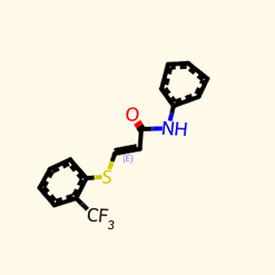 O=C(/C=C/Sc1ccccc1C(F)(F)F)Nc1ccccc1